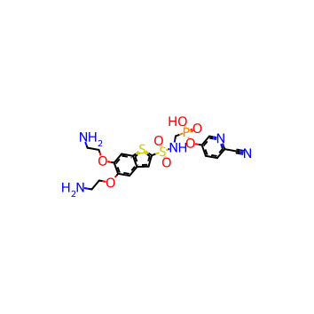 N#Cc1ccc(OP(=O)(O)CNS(=O)(=O)c2cc3cc(OCCN)c(OCCN)cc3s2)cn1